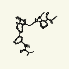 CNC(=O)c1cccc(NCc2n[nH]c3ncc(-c4cncc(NC(=O)C(C)C)c4)cc23)c1NC